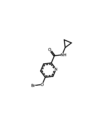 O=C(NC1CC1)c1ccc(OBr)cn1